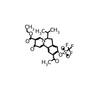 CCOC(=O)c1cn2c(cc1=O)-c1cc(C(C)=O)c(OS(=O)(=O)C(F)(F)F)cc1CC2C(C)C